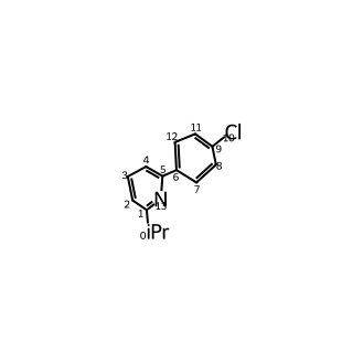 CC(C)c1cccc(-c2ccc(Cl)cc2)n1